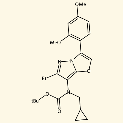 CCc1nn2c(-c3ccc(OC)cc3OC)coc2c1N(CC1CC1)C(=O)OC(C)(C)C